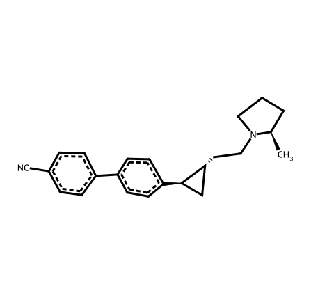 C[C@@H]1CCCN1CC[C@@H]1C[C@H]1c1ccc(-c2ccc(C#N)cc2)cc1